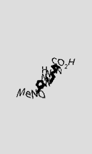 CNC(=O)c1ccc(Nc2nccc(-c3cc(C(=O)O)cn3C)n2)c(C)c1